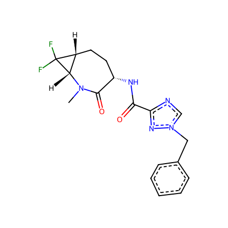 CN1C(=O)[C@@H](NC(=O)c2ncn(Cc3ccccc3)n2)CC[C@@H]2[C@H]1C2(F)F